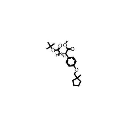 COC(=O)[C@H](NC(=O)OC(C)(C)C)c1ccc(OCC2(C)CCCC2)cc1